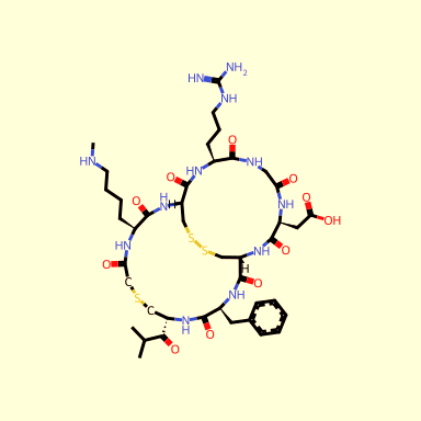 CNCCCC[C@@H]1NC(=O)CSC[C@@H](C(=O)C(C)C)NC(=O)[C@H](Cc2ccccc2)NC(=O)[C@@H]2CSSC[C@H](NC1=O)C(=O)N[C@@H](CCCNC(=N)N)C(=O)NCC(=O)N[C@@H](CC(=O)O)C(=O)N2